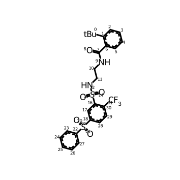 CC(C)(C)c1ccccc1C(=O)NCCNS(=O)(=O)c1cc(S(=O)(=O)c2ccccc2)ccc1C(F)(F)F